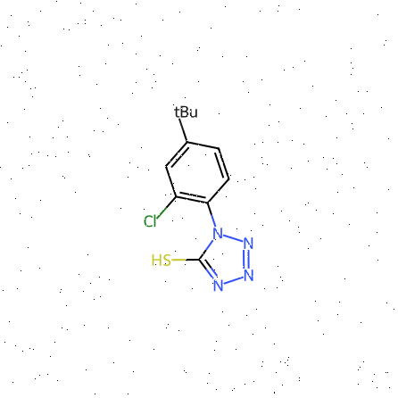 CC(C)(C)c1ccc(-n2nnnc2S)c(Cl)c1